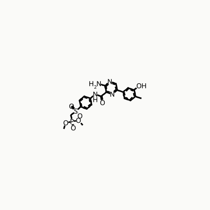 COP(=O)(CS(=O)(=O)c1ccc(NC(=O)c2nc(-c3ccc(C)c(O)c3)cnc2N)cc1)OC